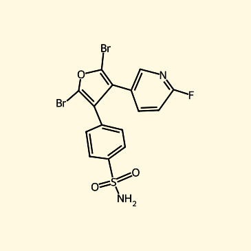 NS(=O)(=O)c1ccc(-c2c(Br)oc(Br)c2-c2ccc(F)nc2)cc1